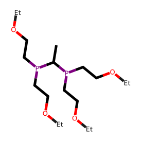 CCOCCP(CCOCC)C(C)P(CCOCC)CCOCC